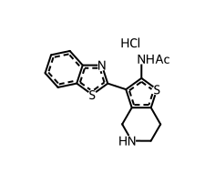 CC(=O)Nc1sc2c(c1-c1nc3ccccc3s1)CNCC2.Cl